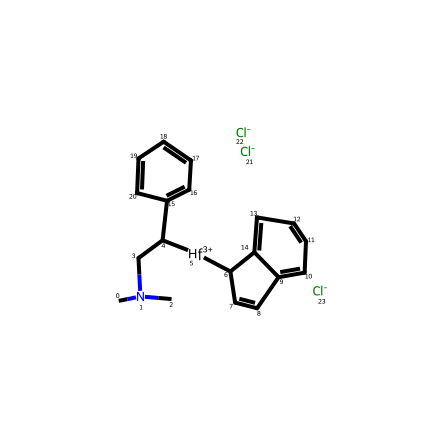 CN(C)C[CH]([Hf+3][CH]1C=Cc2ccccc21)c1ccccc1.[Cl-].[Cl-].[Cl-]